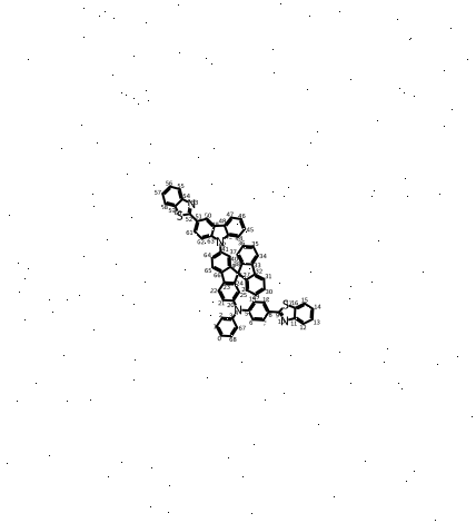 c1ccc(N(c2ccc(-c3nc4ccccc4s3)cc2)c2ccc3c(c2)C2(c4ccccc4-c4ccccc42)c2cc(-n4c5ccccc5c5cc(-c6nc7ccccc7s6)ccc54)ccc2-3)cc1